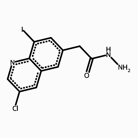 NNC(=O)Cc1cc(I)c2ncc(Cl)cc2c1